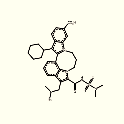 CCN(C)Cc1c(C(=O)NS(=O)(=O)N(C)C)n2c3c(cccc13)-c1c(C3CCCCC3)c3ccc(C(=O)O)cc3n1CCC2